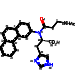 CC(=O)NCCC(=O)N(c1ccc2ccc3ccccc3c2c1)[C@@H](Cc1c[nH]cn1)C(=O)O